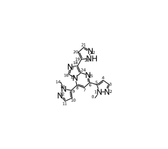 Cn1nccc1-c1cc(-c2ccnn2C)n2cnc(-c3ccn[nH]3)c2n1